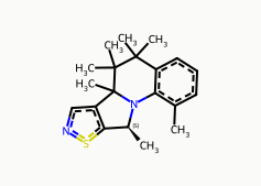 Cc1cccc2c1N1[C@@H](C)c3sncc3C1(C)C(C)(C)C2(C)C